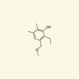 CCc1c(COC)cc(C)c(C)c1O